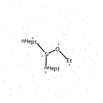 CCCCCCC[Si](CCCCCCC)OCC